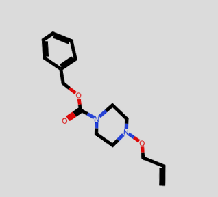 C=CCON1CCN(C(=O)OCc2ccccc2)CC1